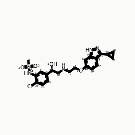 CS(=O)(=O)Nc1cc([C@@H](O)CNCCOc2ccc3c(C4CC4)n[nH]c3c2)ccc1Cl